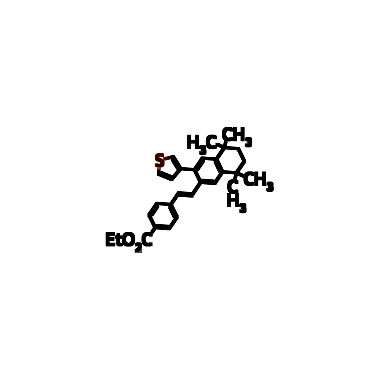 CCOC(=O)c1ccc(C=Cc2cc3c(cc2-c2ccsc2)C(C)(C)CCC3(C)C)cc1